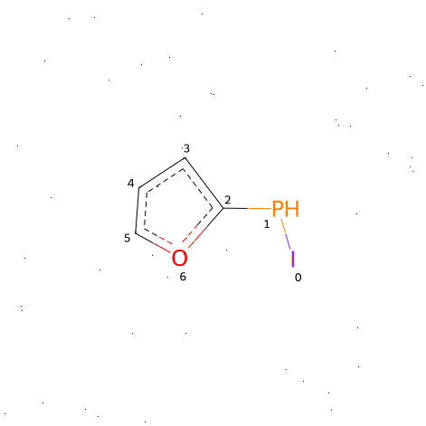 IPc1ccco1